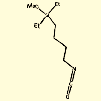 CC[Si](CC)(CCCCN=C=O)OC